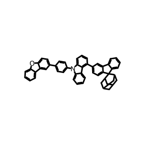 c1ccc2c(c1)-c1cc(-c3cccc4c3c3ccccc3n4-c3ccc(-c4ccc5oc6ccccc6c5c4)cc3)ccc1C21C2CC3CC(C2)CC1C3